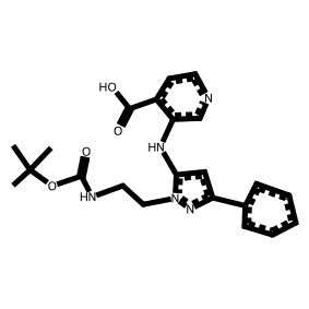 CC(C)(C)OC(=O)NCCn1nc(-c2ccccc2)cc1Nc1cnccc1C(=O)O